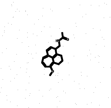 COC1=C2CCCC3=C2C(=CC=C1)C=CC3CNC(C)=O